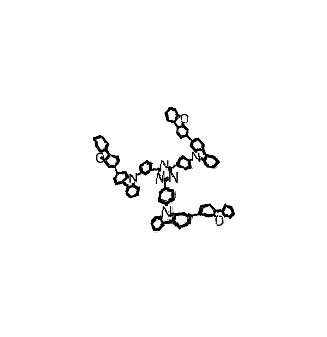 c1cc(-c2nc(-c3ccc(-n4c5ccccc5c5ccc(-c6ccc7c(c6)oc6ccccc67)cc54)cc3)nc(-c3ccc(-n4c5ccccc5c5ccc(-c6ccc7c(c6)oc6ccccc67)cc54)cc3)n2)cc(-n2c3ccccc3c3ccc(-c4ccc5c(c4)oc4ccccc45)cc32)c1